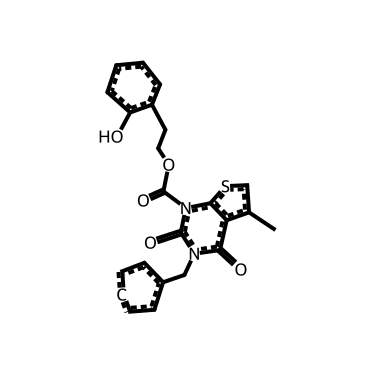 Cc1csc2c1c(=O)n(Cc1ccccc1)c(=O)n2C(=O)OCCc1ccccc1O